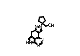 N#CCC1(n2cc3c(n2)Cc2c[nH]c4ncnc-3c24)CCCC1